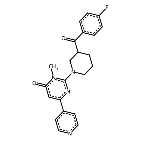 Cn1c(N2CCCC(C(=O)c3ccc(F)cc3)C2)nc(-c2ccncc2)cc1=O